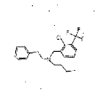 CCCCN(CCc1ccccc1)Cc1cccc(C(F)(F)F)c1Cl